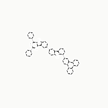 c1ccc(-c2nc(-c3ccccc3)c3oc4ccc(-c5ccc6oc7c(-c8ccc9c%10ccccc%10c%10ccccc%10c9c8)cccc7c6c5)cc4c3n2)cc1